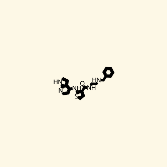 O=C(NCCNCc1ccccc1)c1ccsc1Nc1ccnc2[nH]ccc12